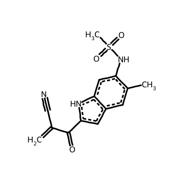 C=C(C#N)C(=O)c1cc2cc(C)c(NS(C)(=O)=O)cc2[nH]1